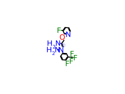 N/C(=C\N(N)c1ccc(F)c(C(F)(F)F)c1)COc1ncccc1F